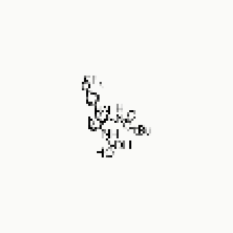 CC(C)(C)OC(=O)NCc1nn(-c2ccc(OC(F)(F)F)cc2)c2nccc(NCC(O)O)c12